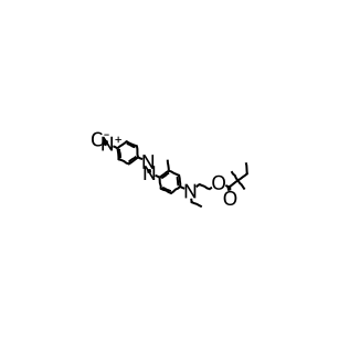 [C-]#[N+]c1ccc(/N=N/c2ccc(N(CC)CCOC(=O)C(C)(C)CC)cc2C)cc1